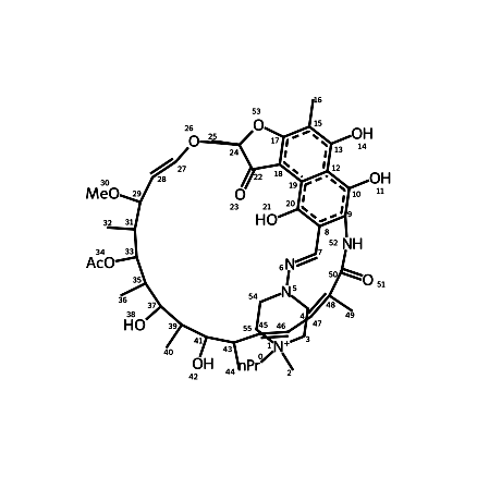 CCC[N+]1(C)CCN(/N=C/c2c3c(O)c4c(O)c(C)c5c(c4c2O)C(=O)C(C)(O/C=C/C(OC)C(C)C(OC(C)=O)C(C)C(O)C(C)C(O)C(C)/C=C/C=C(/C)C(=O)N3)O5)CC1